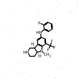 CN1c2c(cc(Nc3ccccc3F)cc2C(F)(F)F)[C@@H]2CNCC[C@@H]21